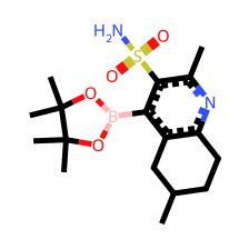 Cc1nc2c(c(B3OC(C)(C)C(C)(C)O3)c1S(N)(=O)=O)CC(C)CC2